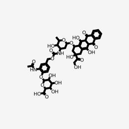 CC(=O)Nc1cc(COC(=O)NC2CC(OC3CC(O)(C(=O)CO)CC4=C(O)C5C(=O)c6ccccc6C(=O)C5C(O)=C43)OC(C)C2O)ccc1OC1OC(C(=O)O)C(O)C(O)C1O